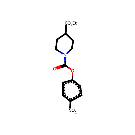 CCOC(=O)C1CCN(C(=O)Oc2ccc([N+](=O)[O-])cc2)CC1